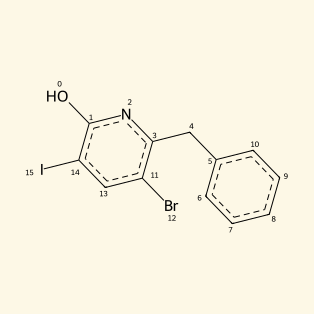 Oc1nc(Cc2ccccc2)c(Br)cc1I